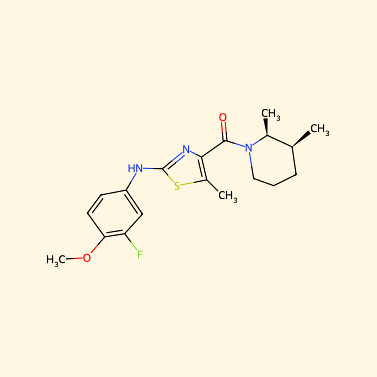 COc1ccc(Nc2nc(C(=O)N3CCC[C@H](C)[C@@H]3C)c(C)s2)cc1F